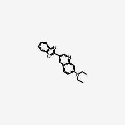 CCN(CC)c1ccc2cc(-c3nc4ccccc4o3)cnc2c1